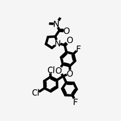 CN(C)C(=O)C1CCCN1C(=O)c1cc2c(cc1F)OC(c1ccc(F)cc1)(c1ccc(Cl)cc1Cl)O2